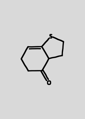 O=C1CCC=C2SCCC12